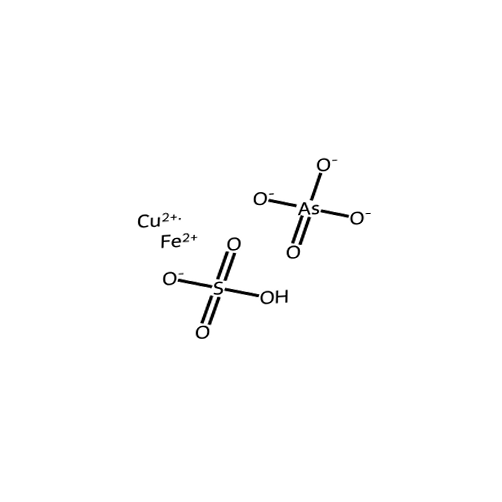 O=S(=O)([O-])O.O=[As]([O-])([O-])[O-].[Cu+2].[Fe+2]